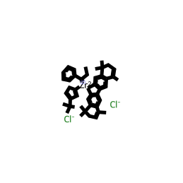 CC/[C](c1ccccc1)=[Zr+2](/[C]1=CC(C(C)(C)C)=CC1)[CH]1c2cc3c(cc2-c2cc4c(cc21)C(C)(C)CC=C4C)C(C)=CCC3(C)C.[Cl-].[Cl-]